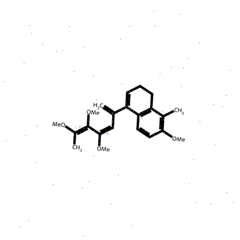 C=C(/C=C(OC)\C(OC)=C(/C)OC)C1=CCCc2c1ccc(OC)c2C